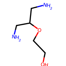 NCC(CN)OCCO